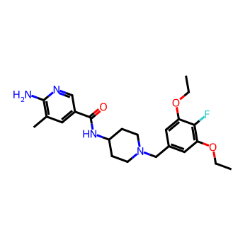 CCOc1cc(CN2CCC(NC(=O)c3cnc(N)c(C)c3)CC2)cc(OCC)c1F